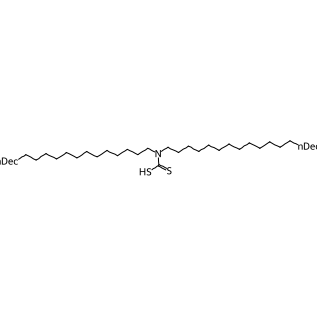 CCCCCCCCCCCCCCCCCCCCCCCN(CCCCCCCCCCCCCCCCCCCCCCC)C(=S)S